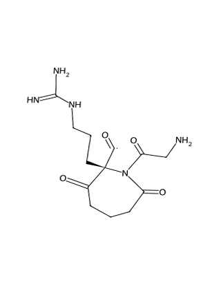 N=C(N)NCCC[C@]1([C]=O)C(=O)CCCC(=O)N1C(=O)CN